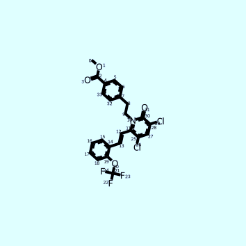 COC(=O)c1ccc(CCn2c(/C=C/c3ccccc3OC(F)(F)F)c(Cl)cc(Cl)c2=O)cc1